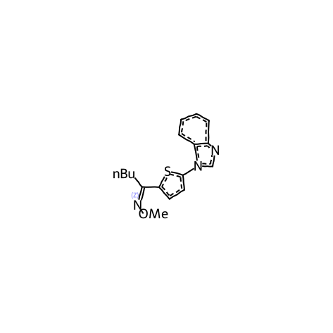 CCCC/C(=N/OC)c1ccc(-n2cnc3ccccc32)s1